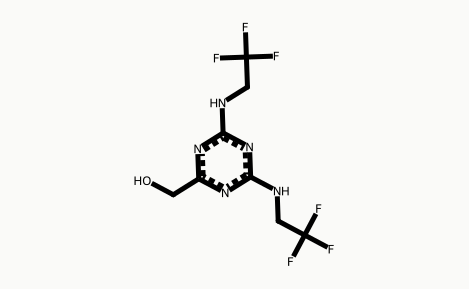 OCc1nc(NCC(F)(F)F)nc(NCC(F)(F)F)n1